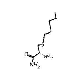 CCCCCSC[C@H](N)C(N)=O